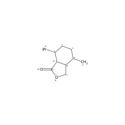 CC(C)C1CCC(C)C2COC(=O)C12